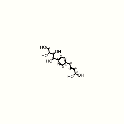 OCC(O)C(O)C(O)c1cnc(CC=CC(O)O)cn1